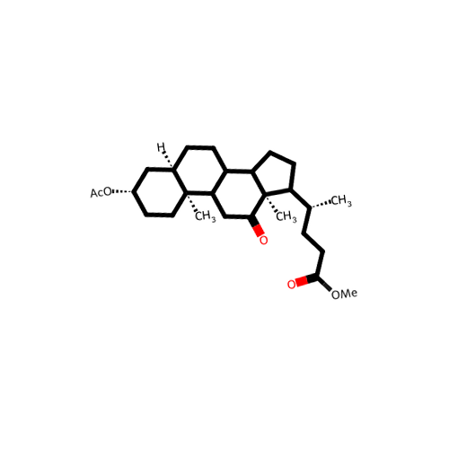 COC(=O)CC[C@@H](C)C1CCC2C3CC[C@@H]4C[C@@H](OC(C)=O)CC[C@]4(C)C3CC(=O)[C@@]21C